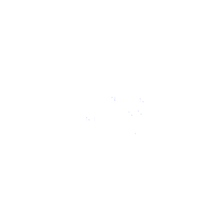 Cc1ccc(C(=O)NCc2ccccc2)cc1-n1nnc2cccnc21